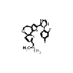 CN(C)Cc1ccc2c(n1)-c1sc(-c3ncnn3-c3ccc(F)cc3F)cc1CCO2